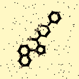 C=C(/C=C\N(N)c1ccncc1)C(=C)c1ccnn1-c1cccc2cnccc12